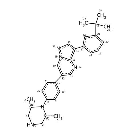 C[C@@H]1CNC[C@H](C)N1c1ccc(-c2cnc3c(-c4cccc(C(C)(C)C)c4)cnn3c2)cc1